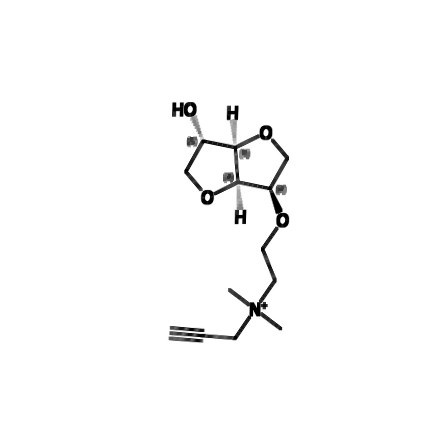 C#CC[N+](C)(C)CCO[C@@H]1CO[C@H]2[C@@H]1OC[C@@H]2O